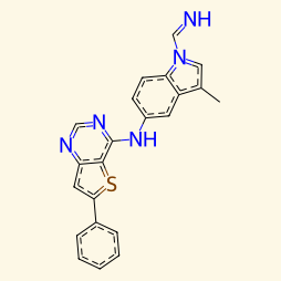 Cc1cn(C=N)c2ccc(Nc3ncnc4cc(-c5ccccc5)sc34)cc12